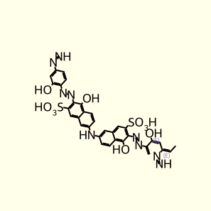 C=C(N=Nc1c(S(=O)(=O)O)cc2cc(Nc3ccc4c(O)c(N=Nc5ccc(N=N)cc5O)c(S(=O)(=O)O)cc4c3)ccc2c1O)/C(O)=C\C(=C/C)N=N